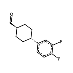 O=C[C@H]1CC[C@H](c2ccc(F)c(F)c2)CC1